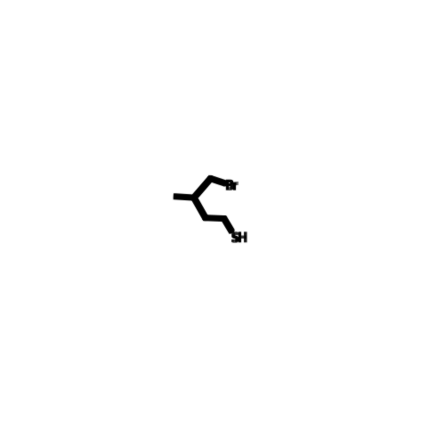 CC(CBr)CCS